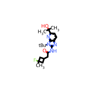 CC1(F)CC(CC(=O)Nc2nc3ccc(C(C)(C)O)nc3n2C(C)(C)C)C1